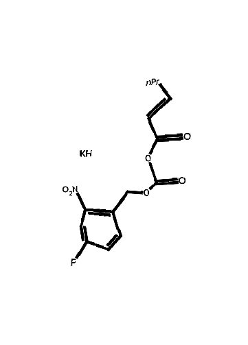 CCCC=CC(=O)OC(=O)OCc1ccc(F)cc1[N+](=O)[O-].[KH]